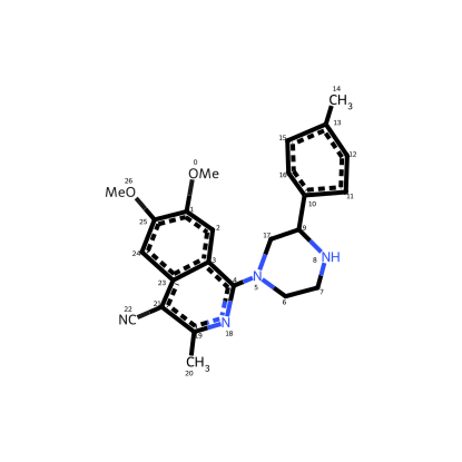 COc1cc2c(N3CCNC(c4ccc(C)cc4)C3)nc(C)c(C#N)c2cc1OC